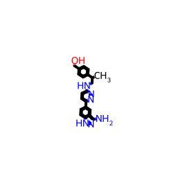 CC(CNc1ccc(-c2ccc3[nH]nc(N)c3c2)nn1)c1ccc(CO)cc1